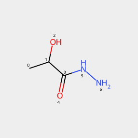 CC(O)C(=O)NN